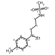 CCN(CCCNS(C)(=O)=O)c1ccc(N)cc1